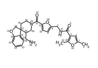 Cc1cc(C(=O)NCc2ccc(C(=O)N3CCC4(COc5ccccc54)C(CN)C3)o2)c(C)o1